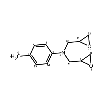 [CH2]c1ccc(N(CC2CO2)CC2CO2)cc1